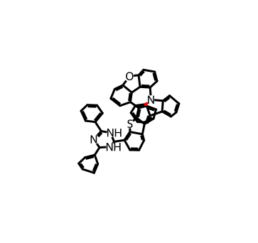 c1ccc(C2=NC(c3ccccc3)NC(c3cccc4c3sc3c(-c5cccc6oc7cccc(-n8c9ccccc9c9ccccc98)c7c56)cccc34)N2)cc1